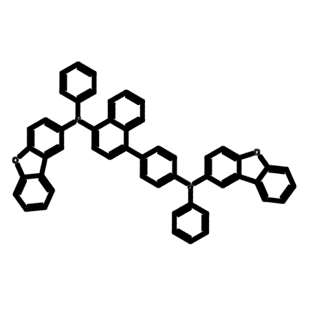 c1ccc(N(c2ccc(-c3ccc(N(c4ccccc4)c4ccc5oc6ccccc6c5c4)c4ccccc34)cc2)c2ccc3oc4ccccc4c3c2)cc1